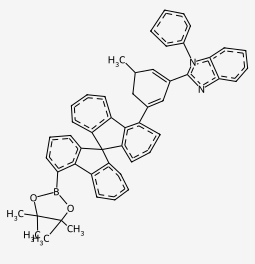 CC1C=C(c2nc3ccccc3n2-c2ccccc2)C=C(c2cccc3c2-c2ccccc2C32c3ccccc3-c3c(B4OC(C)(C)C(C)(C)O4)cccc32)C1